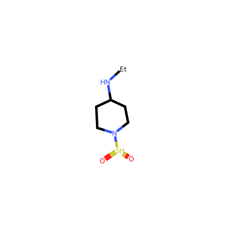 CCNC1CCN([SH](=O)=O)CC1